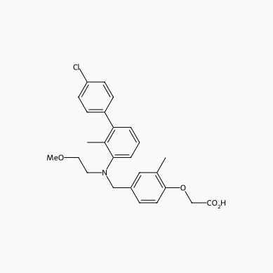 COCCN(Cc1ccc(OCC(=O)O)c(C)c1)c1cccc(-c2ccc(Cl)cc2)c1C